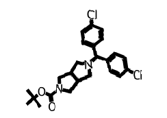 CC(C)(C)OC(=O)N1CC2CN(C(c3ccc(Cl)cc3)c3ccc(Cl)cc3)CC2C1